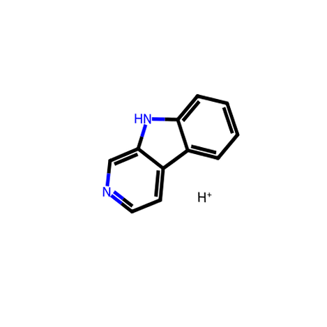 [H+].c1ccc2c(c1)[nH]c1cnccc12